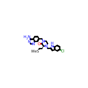 CSCC[C@H]1C(=O)N(Cc2ccc3c(N)ncnc3c2)CCN1Cc1cc2cc(Cl)ccc2[nH]1